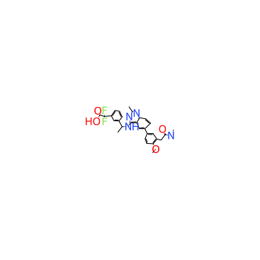 COc1ccc(-c2ccc3nc(C)nc(NC(C)c4cccc(C(F)(F)C(=O)O)c4)c3c2)cc1CC(=O)N(C)C